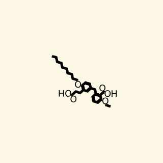 CCCCCCCCCCOc1ccc(Cc2cccc(OCC)c2C(=O)O)cc1CCC(=O)O